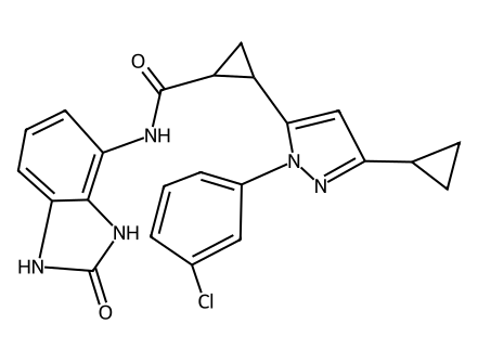 O=C(Nc1cccc2[nH]c(=O)[nH]c12)C1CC1c1cc(C2CC2)nn1-c1cccc(Cl)c1